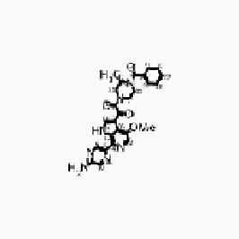 COc1cnc(-c2cnc(N)cn2)c2[nH]cc(C(=O)C(=O)N3CCN(C(=O)c4ccccc4)[C@H](C)C3)c12